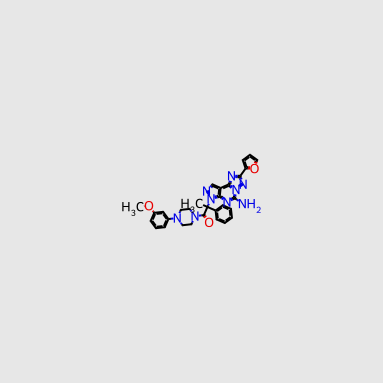 COc1cccc(N2CCN(C(=O)C(C)(c3ccccc3)n3ncc4c3nc(N)n3nc(-c5ccco5)nc43)CC2)c1